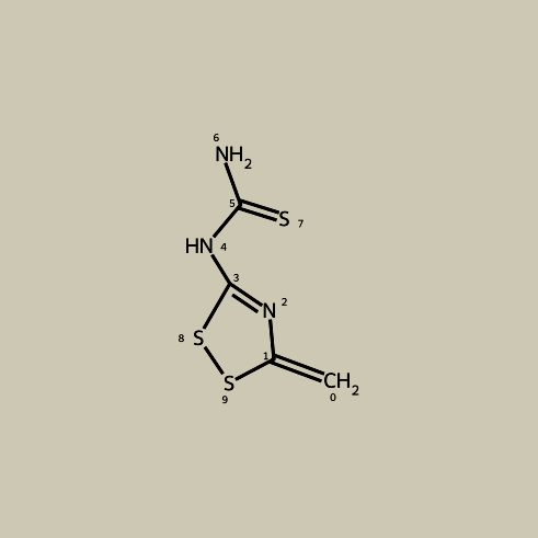 C=C1N=C(NC(N)=S)SS1